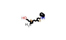 Cc1cc(CCC2=CS[C@H](NC34CC5CC(CC(C5)C3)C4)CC2)sc1CCCO